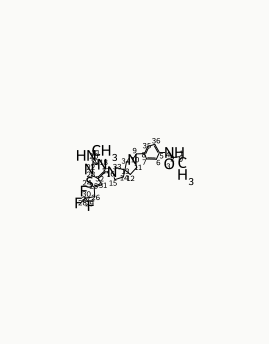 CCC(=O)Nc1ccc(CN2CCC3(CCN(c4nc(NC)nc5sc(CC(F)(F)F)cc45)C3)C2)cc1